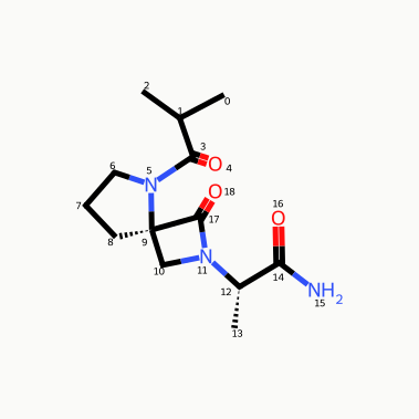 CC(C)C(=O)N1CCC[C@]12CN([C@@H](C)C(N)=O)C2=O